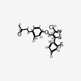 CC(=O)CCc1ccc(OCc2c(Cl)nsc2-c2ccc(C)cc2F)cc1C